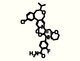 CC(C)C1Cc2ccc(Cl)cc2-c2cc(=O)n([C@@H](C[C@@H]3CCCCO3)C(=O)Nc3ccc(C(N)=O)c(F)c3)cc2CO1